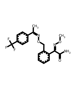 CON=C(C(N)=O)c1ccccc1CON=C(C)c1ccc(C(F)(F)F)cc1